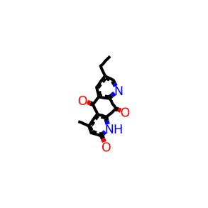 CCc1cnc2c(c1)C(=O)c1c(C)cc(=O)[nH]c1C2=O